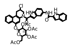 CC(=O)OCC1O[C@@H](Oc2cc3c(c4ccccc24)CC(Cl)CN3C(=O)c2cc3cc(NC(=O)c4cc5ccccc5[nH]4)ccc3[nH]2)C(OC(C)=O)[C@@H](OC(C)=O)[C@H]1OC(C)=O